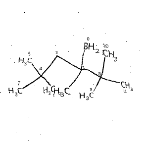 BC(C)(CC(C)(C)C)C(C)(C)C